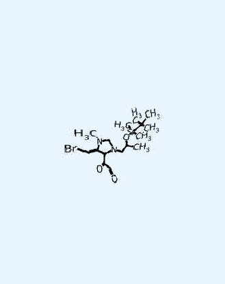 CC(CN1CN(C)/C(=C\Br)C1C(=O)C=O)O[Si](C)(C)C(C)(C)C